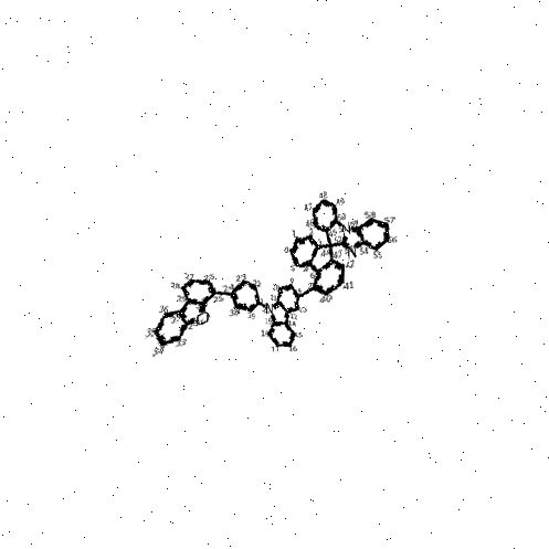 c1ccc2c(c1)-c1c(-c3ccc4c(c3)c3ccccc3n4-c3ccc(-c4cccc5c4oc4ccccc45)cc3)cccc1C21c2ccccc2-n2c1nc1ccccc12